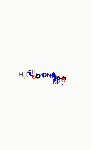 CN(C)CCOc1ccc(N2CCN(CCn3cnc4c3nc(N)n3nc(-c5ccco5)cc43)CC2)cc1